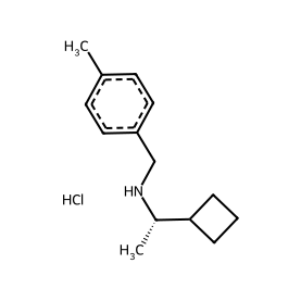 Cc1ccc(CN[C@@H](C)C2CCC2)cc1.Cl